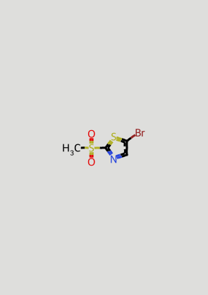 CS(=O)(=O)c1ncc(Br)s1